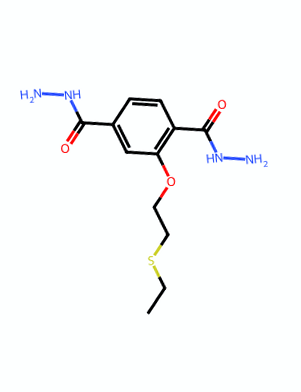 CCSCCOc1cc(C(=O)NN)ccc1C(=O)NN